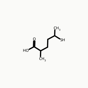 CC(S)CCC(C)C(=O)O